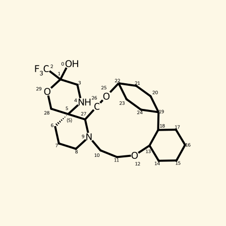 OC1(C(F)(F)F)CN[C@]2(CCCN3CCOC4CCCCC4C4CCC(CC4)OCC32)CO1